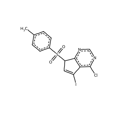 Cc1ccc(S(=O)(=O)C2C=C(I)c3c(Cl)ncnc32)cc1